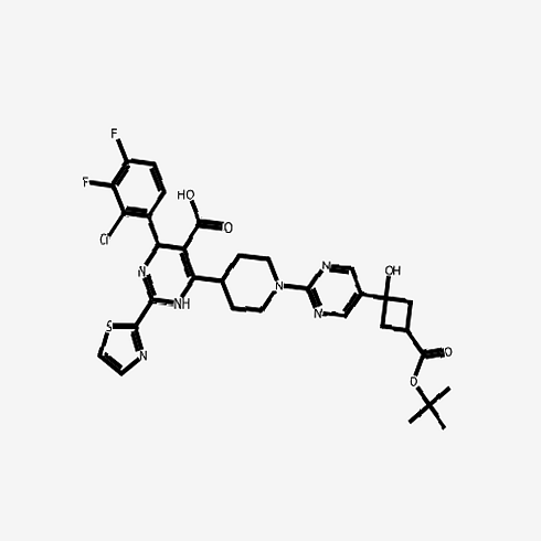 CC(C)(C)OC(=O)C1CC(O)(c2cnc(N3CCC(C4=C(C(=O)O)C(c5ccc(F)c(F)c5Cl)N=C(c5nccs5)N4)CC3)nc2)C1